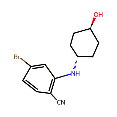 N#Cc1ccc(Br)cc1N[C@H]1CC[C@H](O)CC1